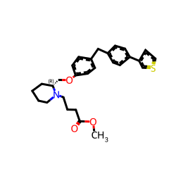 COC(=O)CCCN1CCCC[C@@H]1COc1ccc(Cc2ccc(-c3ccsc3)cc2)cc1